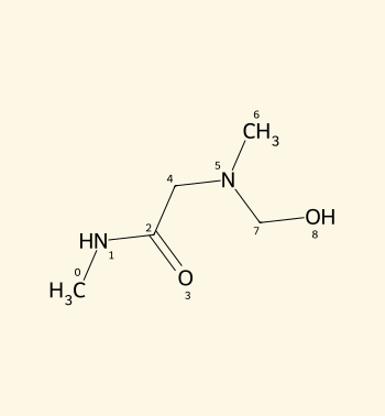 CNC(=O)CN(C)CO